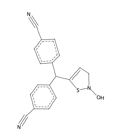 N#Cc1ccc(C(C2=CCN(O)S2)c2ccc(C#N)cc2)cc1